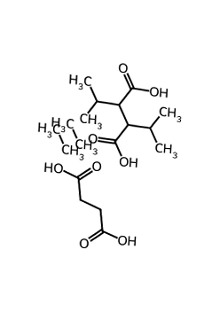 CC.CC.CC(C)C(C(=O)O)C(C(=O)O)C(C)C.O=C(O)CCC(=O)O